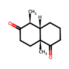 C[C@@H]1C(=O)CC[C@@]2(C)C(=O)CCC[C@@H]12